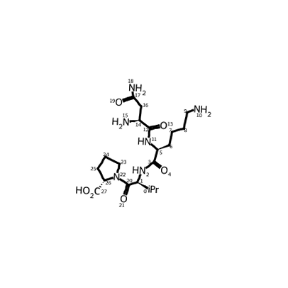 CC(C)[C@H](NC(=O)[C@H](CCCCN)NC(=O)[C@@H](N)CC(N)=O)C(=O)N1CCC[C@H]1C(=O)O